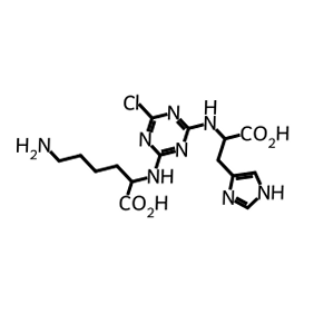 NCCCCC(Nc1nc(Cl)nc(NC(Cc2c[nH]cn2)C(=O)O)n1)C(=O)O